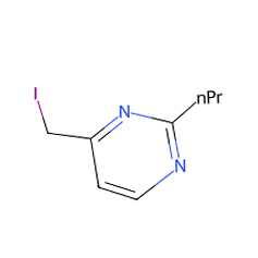 CCCc1nccc(CI)n1